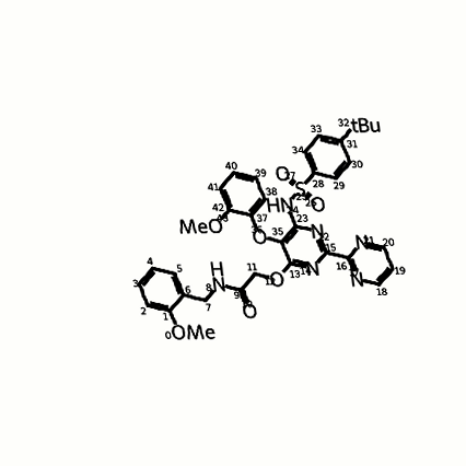 COc1ccccc1CNC(=O)COc1nc(-c2ncccn2)nc(NS(=O)(=O)c2ccc(C(C)(C)C)cc2)c1Oc1ccccc1OC